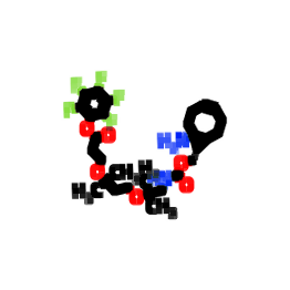 CC(C)(CCOC(C)(C)CNC(=O)OC[C@H]1C2CCC#CCCC21N)OCCC(=O)Oc1c(F)c(F)c(F)c(F)c1F